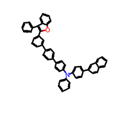 c1ccc(-c2c(-c3cccc(-c4ccc(-c5ccc(N(c6ccccc6)c6ccc(-c7ccc8ccccc8c7)cc6)cc5)cc4)c3)oc3ccccc23)cc1